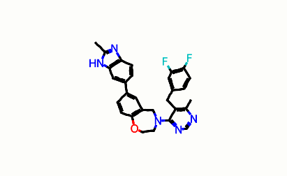 Cc1nc2ccc(-c3ccc4c(c3)CN(c3ncnc(C)c3Cc3ccc(F)c(F)c3)CCO4)cc2[nH]1